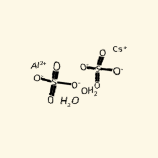 O.O.O=S(=O)([O-])[O-].O=S(=O)([O-])[O-].[Al+3].[Cs+]